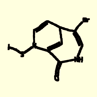 O=C1NC=C(Br)C2C=CN(SI)C1=C2